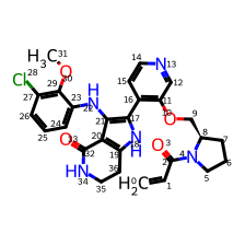 C=CC(=O)N1CCC[C@@H]1COc1cnccc1-c1[nH]c2c(c1Nc1cccc(Cl)c1OC)C(=O)NCC2